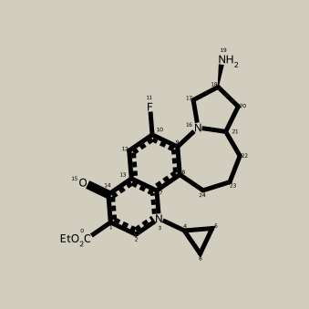 CCOC(=O)c1cn(C2CC2)c2c3c(c(F)cc2c1=O)N1C[C@@H](N)CC1CCC3